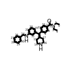 CCN(CC)C(=O)c1ccc(C(=C2CCNCC2)c2cccc(NCc3ccccc3)c2)cc1